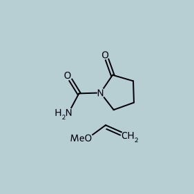 C=COC.NC(=O)N1CCCC1=O